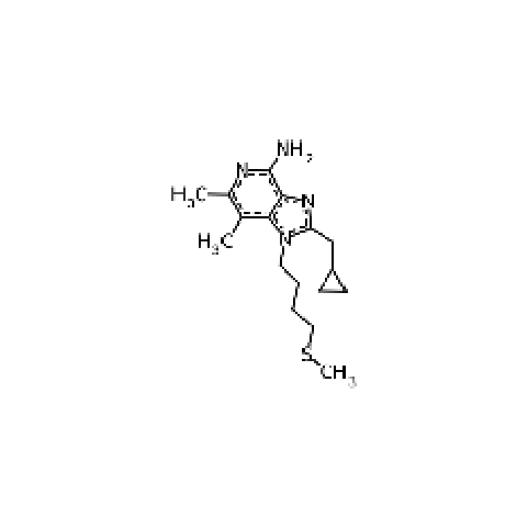 CSCCCCn1c(CC2CC2)nc2c(N)nc(C)c(C)c21